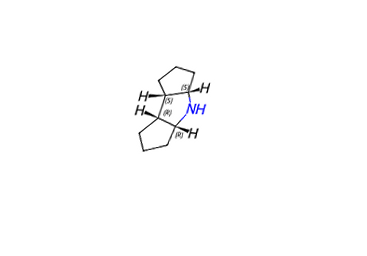 C1C[C@H]2[C@H]3CCC[C@H]3N[C@H]2C1